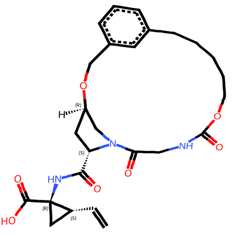 C=C[C@@H]1C[C@]1(NC(=O)[C@@H]1C[C@@H]2CN1C(=O)CNC(=O)OCCCCCc1cccc(c1)CO2)C(=O)O